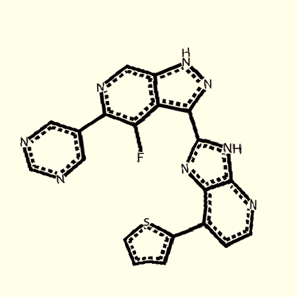 Fc1c(-c2cncnc2)ncc2[nH]nc(-c3nc4c(-c5cccs5)ccnc4[nH]3)c12